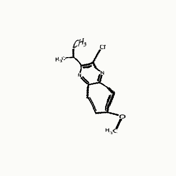 COc1ccc2nc(C(C)C)c(Cl)nc2c1